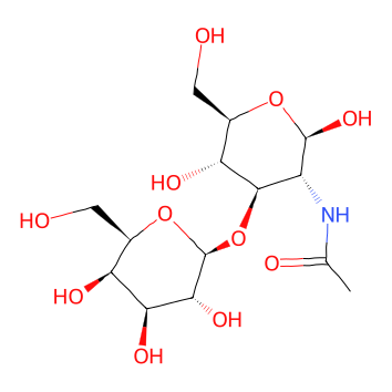 CC(=O)N[C@@H]1[C@@H](O[C@@H]2O[C@H](CO)[C@H](O)[C@H](O)[C@H]2O)[C@H](O)[C@@H](CO)O[C@H]1O